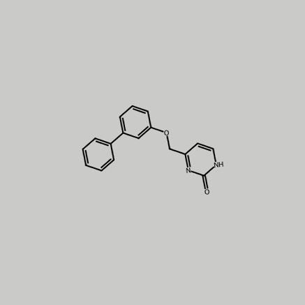 O=c1nc(COc2cccc(-c3ccccc3)c2)cc[nH]1